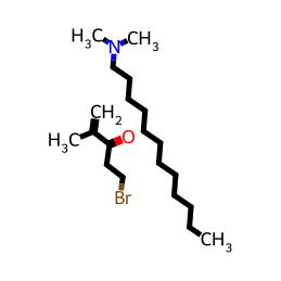 C=C(C)C(=O)CCBr.CCCCCCCCCCCCN(C)C